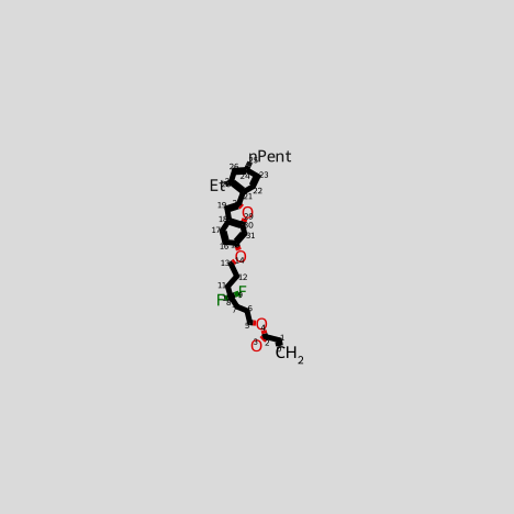 C=CC(=O)OCCCC(F)(F)CCCOc1ccc2cc(-c3ccc(CCCCC)cc3CC)oc2c1